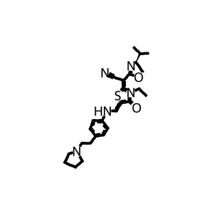 CCn1c(=C(C#N)C2=N[C@@H](C(C)C)CO2)sc(=CNc2ccc(CCN3CCCC3)cc2)c1=O